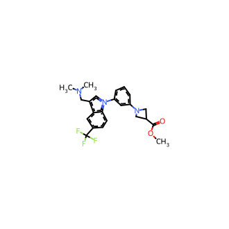 COC(=O)C1CN(c2cccc(-n3cc(CN(C)C)c4cc(C(F)(F)F)ccc43)c2)C1